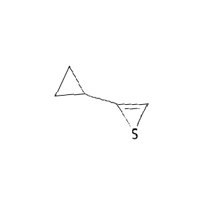 C1=C(C2CC2)S1